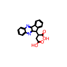 O=C(O)CC(C(=O)O)C1c2ccccc2-c2nc3ccccc3nc21